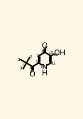 CC(C)(C)C(=O)c1cc(=O)c(O)c[nH]1